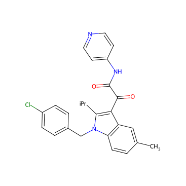 Cc1ccc2c(c1)c(C(=O)C(=O)Nc1ccncc1)c(C(C)C)n2Cc1ccc(Cl)cc1